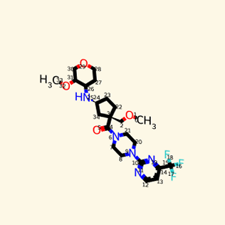 COC[C@]1(C(=O)N2CCN(c3nccc(C(F)(F)F)n3)CC2)CC[C@@H](NC2CCOCC2OC)C1